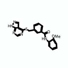 COc1ccccc1NC(=O)c1cccc(CSc2ncnc3[nH]ncc23)c1